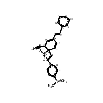 CN(C)c1ccc(C=CC2([N+](=O)[O-])C=CC(C=Cc3ccccc3)=CC2C#N)cc1